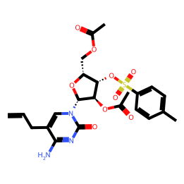 C=CCc1cn([C@@H]2O[C@H](COC(C)=O)[C@H](OS(=O)(=O)c3ccc(C)cc3)[C@H]2OC(C)=O)c(=O)nc1N